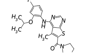 Cc1c(C(=O)N2CCCC2)sc2ncnc(Nc3ccc(F)cc3OC(C)C)c12